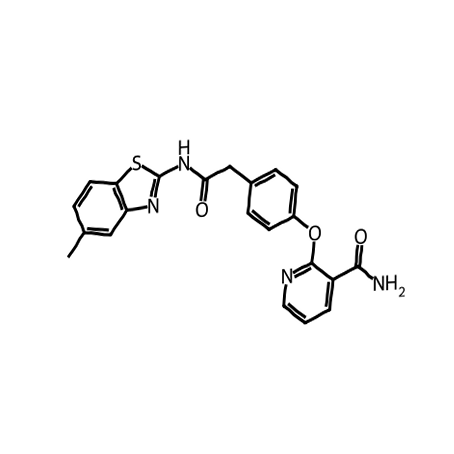 Cc1ccc2sc(NC(=O)Cc3ccc(Oc4ncccc4C(N)=O)cc3)nc2c1